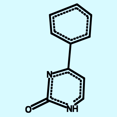 O=c1nc(-c2ccccc2)cc[nH]1